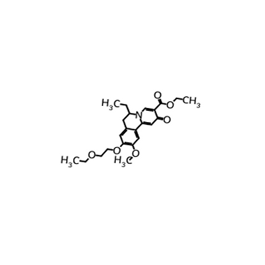 CCOCCOc1cc2c(cc1OC)-c1cc(=O)c(C(=O)OCC)cn1C(CC)C2